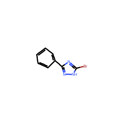 Brc1nc(-c2ccccc2)n[nH]1